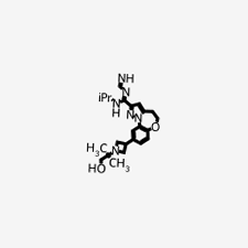 CC(C)N/C(=N\C=N)c1cc2n(n1)-c1cc(C3CN(C(C)(C)CO)C3)ccc1OCC2